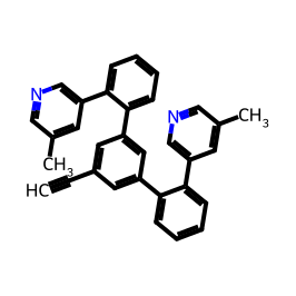 C#Cc1cc(-c2ccccc2-c2cncc(C)c2)cc(-c2ccccc2-c2cncc(C)c2)c1